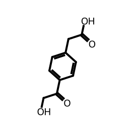 O=C(O)Cc1ccc(C(=O)CO)cc1